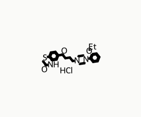 CCOc1ccccc1N1CCN(CCCC(=O)c2ccc3c(c2)NC(=O)CS3)CC1.Cl